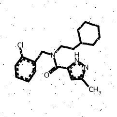 Cc1cc(C(=O)N(CCC2CCCCC2)Cc2ccccc2Cl)[nH]n1